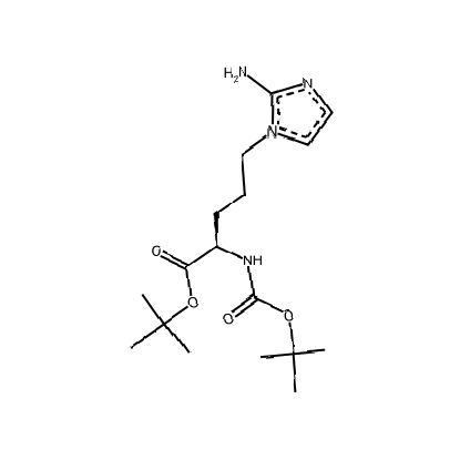 CC(C)(C)OC(=O)N[C@H](CCCn1ccnc1N)C(=O)OC(C)(C)C